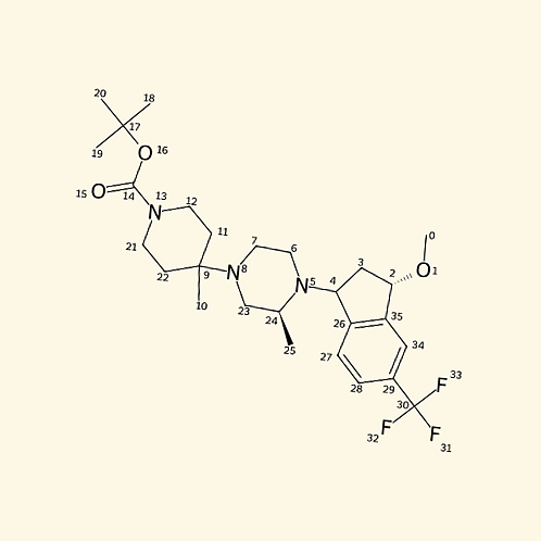 CO[C@H]1CC(N2CCN(C3(C)CCN(C(=O)OC(C)(C)C)CC3)C[C@@H]2C)c2ccc(C(F)(F)F)cc21